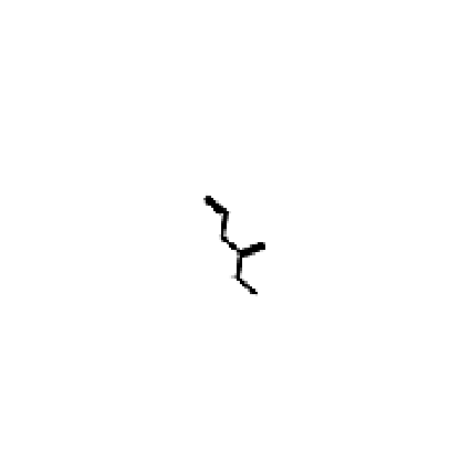 C=[C]CC(=C)[CH]C